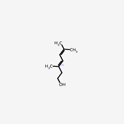 CC(C)=C/C=C(\C)CCO